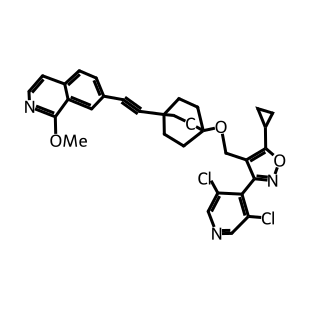 COc1nccc2ccc(C#CC34CCC(OCc5c(-c6c(Cl)cncc6Cl)noc5C5CC5)(CC3)CC4)cc12